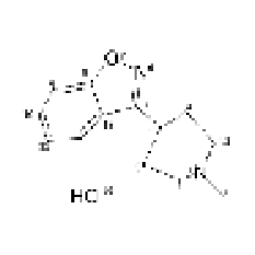 CN1CCC(c2noc3ccccc23)CC1.Cl